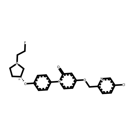 O=c1cc(OCc2ccc(Cl)cn2)ccn1-c1ccc(O[C@@H]2CCN(CCF)C2)cc1